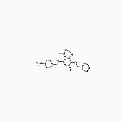 Cc1ncnc2c1c(NCc1ccc(N)cc1)cc(=O)n2OCc1ccccc1